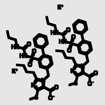 CCCCc1nc(SC)c(C(=O)[O-])n1Cc1ccc(-c2ccccc2)c(S(=O)(=O)NC(=O)NCCC)c1.CCCCc1nc(SC)c(C(=O)[O-])n1Cc1ccc(-c2ccccc2)c(S(=O)(=O)NC(=O)NCCC)c1.[K+].[K+]